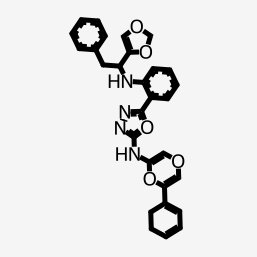 C1=CCCC(C2=COC=C(Nc3nnc(-c4ccccc4NC(Cc4ccccc4)C4=COCO4)o3)O2)=C1